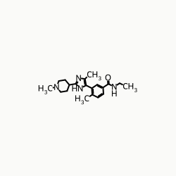 CCNC(=O)c1ccc(C)c(-c2[nH]c(C3CCN(C)CC3)nc2C)c1